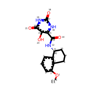 CCOc1cccc2c1CCC[C@H]2NC(=O)c1[nH]c(=O)[nH]c(=O)c1O